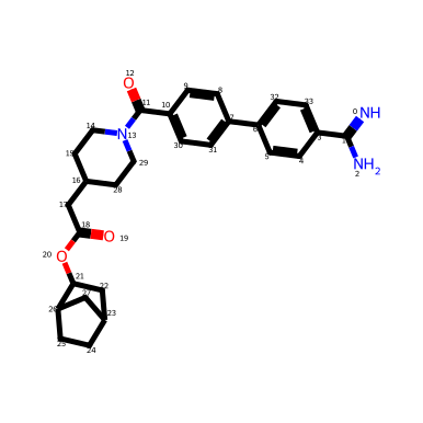 N=C(N)c1ccc(-c2ccc(C(=O)N3CCC(CC(=O)OC4CC5CCC4C5)CC3)cc2)cc1